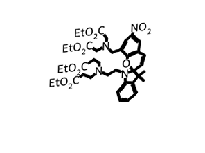 CCOC(=O)CCN(CCC(=O)OCC)CCN1c2ccccc2C(C)(C)C12C=Cc1cc([N+](=O)[O-])cc(CN(CC(=O)OCC)CC(=O)OCC)c1O2